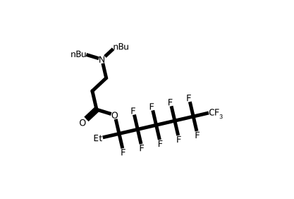 CCCCN(CCCC)CCC(=O)OC(F)(CC)C(F)(F)C(F)(F)C(F)(F)C(F)(F)C(F)(F)F